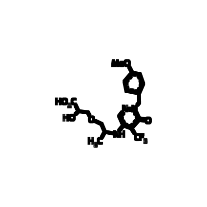 COc1ccc(Cn2ncc(NC(C)COCC(O)C(=O)O)c(C(F)(F)F)c2=O)cc1